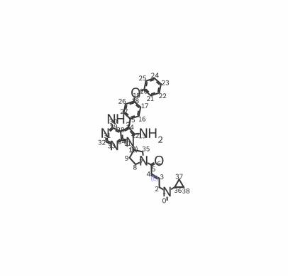 CN(C/C=C/C(=O)N1CC[C@@H](n2c(N)c(-c3ccc(Oc4ccccc4)cc3)c3c(N)ncnc32)C1)C1CC1